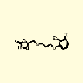 CCc1cccc(OCCCSCc2n[nH]c(=S)o2)c1CC